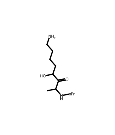 CCCNC(C)C(=O)C(O)CCCCN